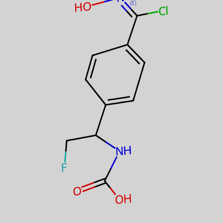 O=C(O)NC(CF)c1ccc(/C(Cl)=N\O)cc1